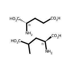 CC(C[C@H](N)C(=O)O)C(=O)O.N[C@@H](CCC(=O)O)C(=O)O